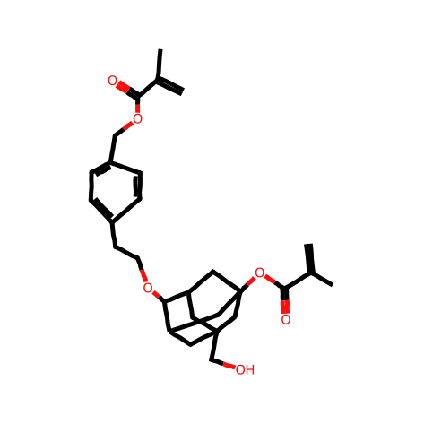 C=C(C)C(=O)OCc1ccc(CCOC2C3CC4(CO)CC2CC(OC(=O)C(=C)C)(C3)C4)cc1